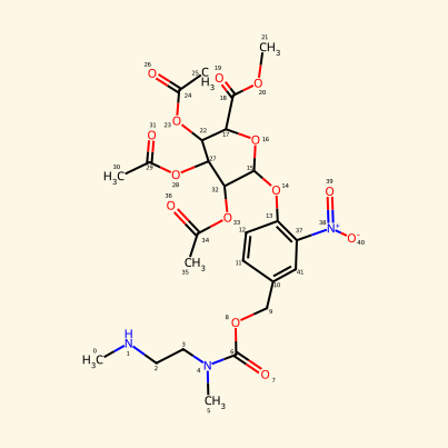 CNCCN(C)C(=O)OCc1ccc(OC2OC(C(=O)OC)C(OC(C)=O)C(OC(C)=O)C2OC(C)=O)c([N+](=O)[O-])c1